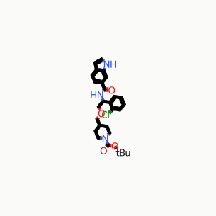 CC(C)(C)OC(=O)N1CCC(COCC(NC(=O)c2ccc3cc[nH]c3c2)c2ccccc2Cl)CC1